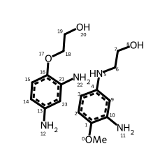 COc1ccc(NCCO)cc1N.Nc1ccc(OCCO)c(N)c1